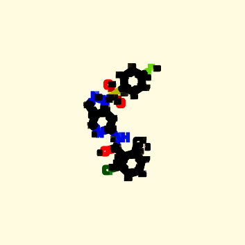 O=C(Nc1cc2c(cn1)cnn2S(=O)(=O)c1ccc(F)cc1)c1c(Cl)cccc1C(F)(F)F